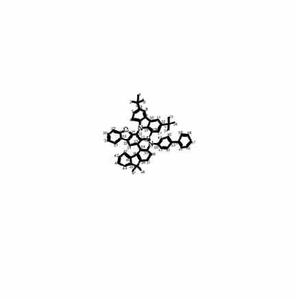 CC(C)(C)c1ccc2c(c1)c1cc(C(C)(C)C)cc3c1n2-c1c2c(cc4c1oc1ccccc14)-c1c(ccc4c1-c1ccccc1C4(C)C)N(c1ccc(-c4ccccc4)cc1)B23